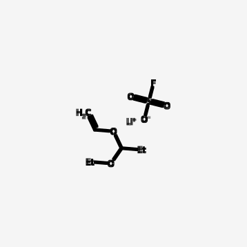 C=COC(CC)OCC.O=S(=O)([O-])F.[Li+]